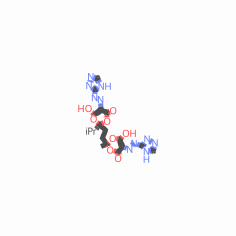 CC(C)C1(CCC2(C)OC(=O)C(N=Nc3nnc[nH]3)=C(O)O2)OC(=O)C(N=Nc2nnc[nH]2)=C(O)O1